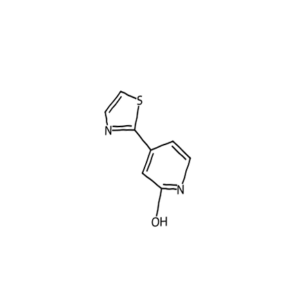 Oc1cc(-c2nccs2)ccn1